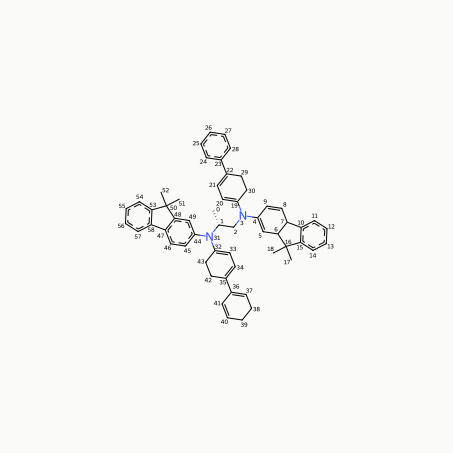 C[C@H](CN(C1=CC2C(C=C1)c1ccccc1C2(C)C)C1=CC=C(c2ccccc2)CC1)N(C1=CC=C(C2=CCCC=C2)CC1)c1ccc2c(c1)C(C)(C)c1ccccc1-2